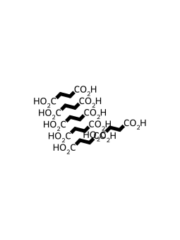 O=C(O)CCC(=O)O.O=C(O)CCC(=O)O.O=C(O)CCC(=O)O.O=C(O)CCC(=O)O.O=C(O)CCC(=O)O.O=C(O)CCC(=O)O